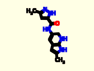 Cc1cc(C(=O)NC2=Cc3cc(C)[nH]c3NC2)[nH]n1